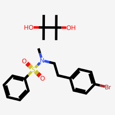 CC(C)(O)C(C)(C)O.CN(CCc1ccc(Br)cc1)S(=O)(=O)c1ccccc1